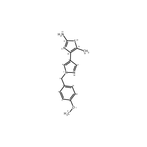 COc1ccc(Cn2cc(-c3nc(N)sc3C)cn2)cc1